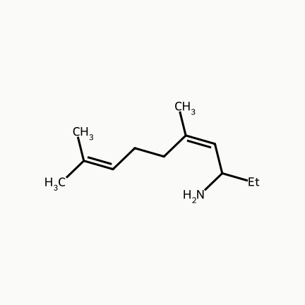 CCC(N)C=C(C)CCC=C(C)C